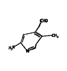 Cc1cnc(N)cc1C=O